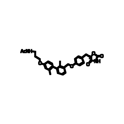 CC(=O)NCCCOc1ccc(-c2cccc(COc3ccc(Cn4oc(=O)[nH]c4=O)cc3)c2C)c(C)c1